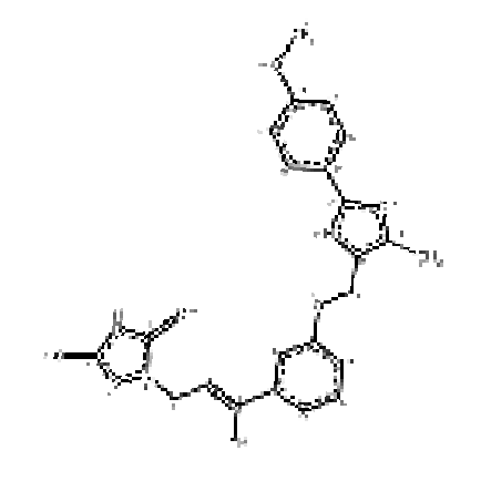 C/C(=C\Cn1sc(=O)[nH]c1=O)c1cccc(OCc2nc(-c3ccc(OC(F)(F)F)cc3)oc2C)c1